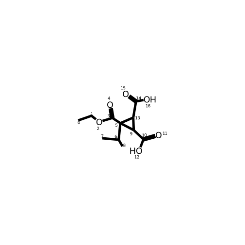 CCOC(=O)C1(C(C)C)C(C(=O)O)C1C(=O)O